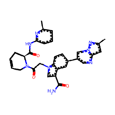 Cc1cccc(NC(=O)[C@@H]2CC=CCN2C(=O)Cn2cc(C(N)=O)c3cc(-c4cnc5cc(C)nn5c4)ccc32)n1